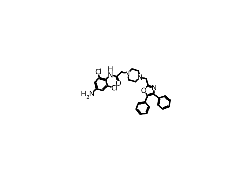 Nc1cc(Cl)c(NC(=O)CN2CCN(Cc3nc(-c4ccccc4)c(-c4ccccc4)o3)CC2)c(Cl)c1